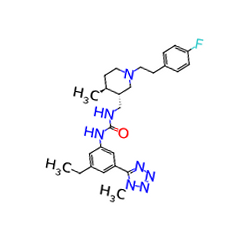 CCc1cc(NC(=O)NC[C@H]2CN(CCc3ccc(F)cc3)CC[C@@H]2C)cc(-c2nnnn2C)c1